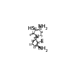 C=C1C(S)=C(N)CCN1c1cccc(N)c1F